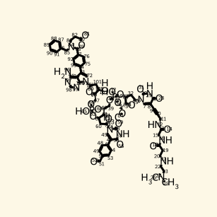 COC[C@H]1O[C@@H](n2cc(C#CCNC(=O)CNC(=O)CCNCCN(C)C)c(=O)[nH]c2=O)C[C@@H]1OP(=O)(O)OCC[C@H]1O[C@@H](n2cc(-c3ccc(C=O)cc3)c(=O)[nH]c2=O)CC1OP(=O)(O)OC[C@H]1O[C@@H](n2cc(-c3ccc(C4OC(=O)CCN4Cc4ccccc4)cc3)c3c(N)ncnc32)C[C@@H]1O